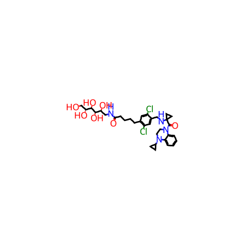 O=C(CCCCc1cc(Cl)c(CNC2(C(=O)N3CCN(C4CC4)c4ccccc43)CC2)cc1Cl)NC[C@H](O)[C@@H](O)[C@H](O)[C@H](O)CO